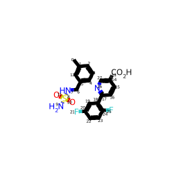 Cc1cccc(CNS(N)(=O)=O)c1.O=C(O)c1ccc(-c2cc(F)ccc2F)nc1